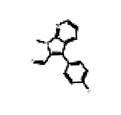 Cn1c(C=O)c(-c2ccc(F)cc2)c2cccnc21